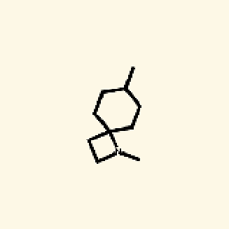 CC1CCC2(CC1)CCN2C